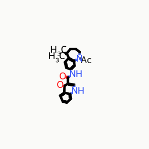 CC(=O)N1CCCC(C)(C)c2ccc(NC(=O)c3c[nH]c4ccccc4c3=O)cc21